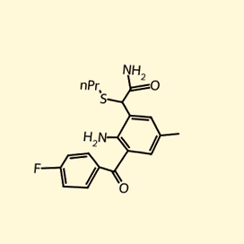 CCCSC(C(N)=O)c1cc(C)cc(C(=O)c2ccc(F)cc2)c1N